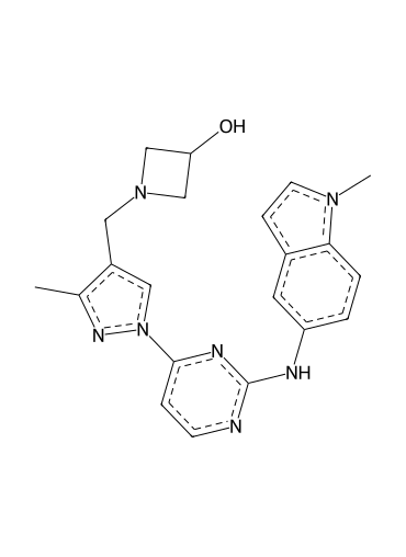 Cc1nn(-c2ccnc(Nc3ccc4c(ccn4C)c3)n2)cc1CN1CC(O)C1